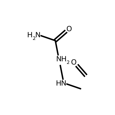 C=O.CNC.NC(N)=O